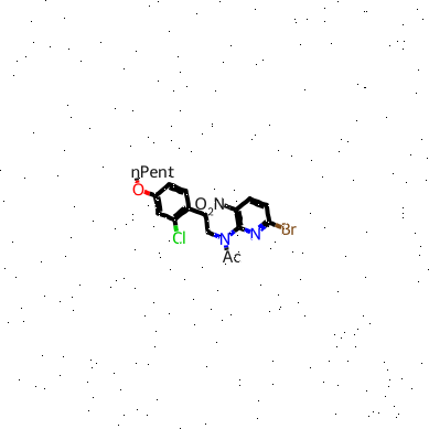 CCCCCOc1ccc(CCN(C(C)=O)c2nc(Br)ccc2[N+](=O)[O-])c(Cl)c1